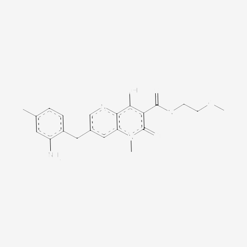 COCCNC(=O)c1c(O)c2ncc(Cc3ccc(C)cc3N)cc2n(C)c1=O